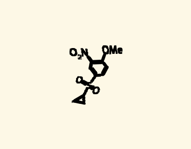 COc1ccc(S(=O)(=O)C2CC2)cc1[N+](=O)[O-]